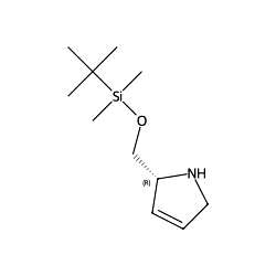 CC(C)(C)[Si](C)(C)OC[C@H]1C=CCN1